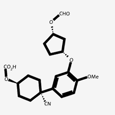 COc1ccc([C@]2(C#N)CC[C@H](OC(=O)O)CC2)cc1O[C@@H]1CC[C@H](OC=O)C1